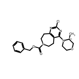 C[C@H]1COCCN1c1nc(Cl)nc2c1CCN(C(=O)OCc1ccccc1)CC2